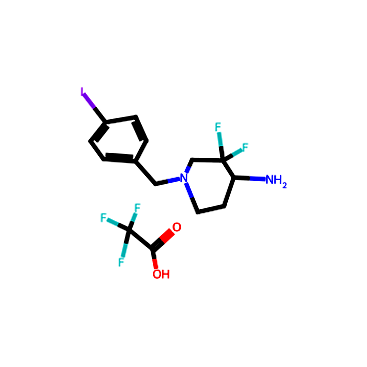 NC1CCN(Cc2ccc(I)cc2)CC1(F)F.O=C(O)C(F)(F)F